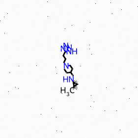 C[C@@H]1C[C@H]1NCC1CCN(CCCc2nnn[nH]2)CC1